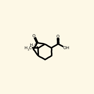 CC1(C)C2CCC(C(=O)O)C1C(=O)C2